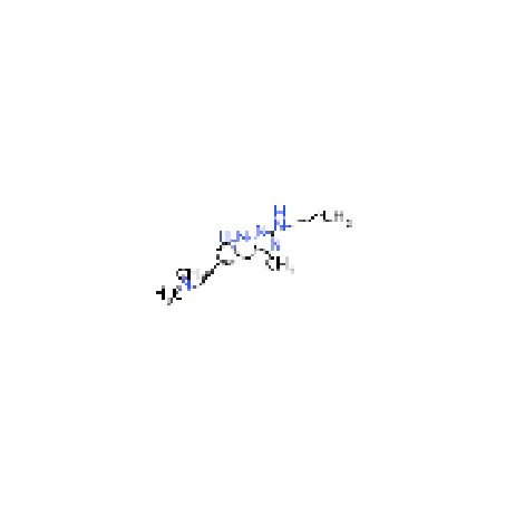 CCCCCNc1nc(C)c(Cc2cccc(C#CCN(C)C)c2)c(N)n1